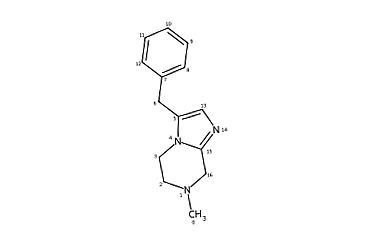 CN1CCn2c(Cc3ccccc3)cnc2C1